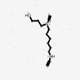 C#CNCCCCCCN(C#C)CCCO